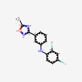 Fc1ccc(Nc2[c]ccc(-c3noc(C(F)(F)F)n3)c2)c(F)c1